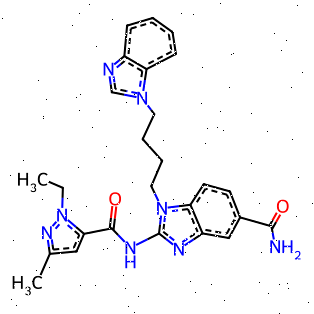 CCn1nc(C)cc1C(=O)Nc1nc2cc(C(N)=O)ccc2n1CCCCn1cnc2ccccc21